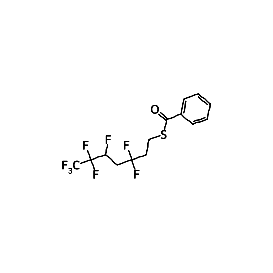 O=C(SCCC(F)(F)CC(F)C(F)(F)C(F)(F)F)c1ccccc1